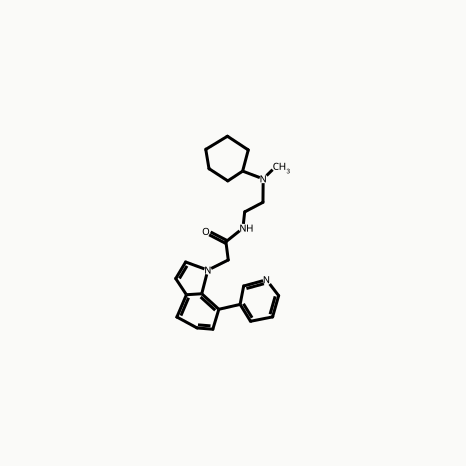 CN(CCNC(=O)Cn1ccc2cccc(-c3cccnc3)c21)C1CCCCC1